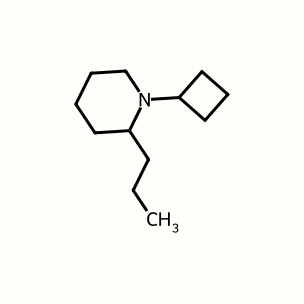 CCCC1CCCCN1C1CCC1